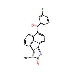 N#CC1=C2C(=NC1=O)c1ccc(C(=O)c3cccc(F)c3)c3cccc2c13